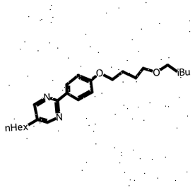 CCCCCCc1cnc(-c2ccc(OCCCCOCC(C)CC)cc2)nc1